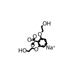 O=S(=O)([O-])c1c(OCCO)cccc1OCCO.[Na+]